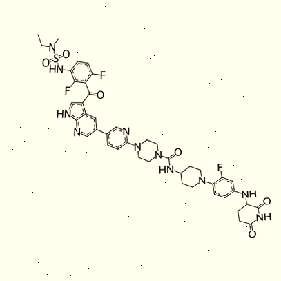 CCN(C)S(=O)(=O)Nc1ccc(F)c(C(=O)c2c[nH]c3ncc(-c4ccc(N5CCN(C(=O)NC6CCN(c7ccc(NC8CCC(=O)NC8=O)cc7F)CC6)CC5)nc4)cc23)c1F